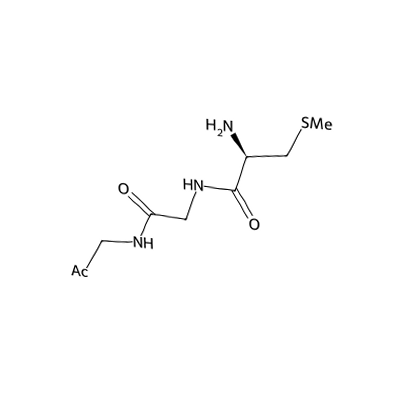 CSC[C@H](N)C(=O)NCC(=O)NCC(C)=O